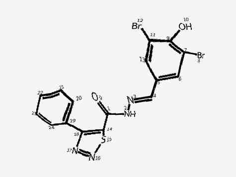 O=C(N/N=C/c1cc(Br)c(O)c(Br)c1)c1snnc1-c1ccccc1